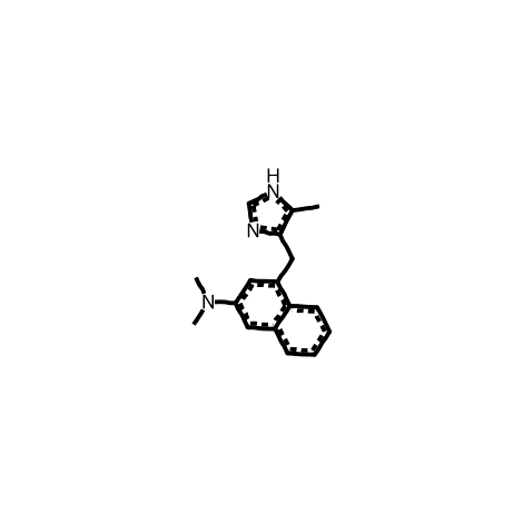 Cc1[nH]cnc1Cc1cc(N(C)C)cc2ccccc12